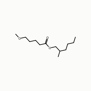 CCCCC(C)COC(=O)CCCCOC